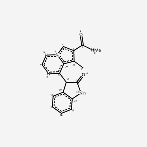 CNC(=O)c1cn2ncnc(C3C(=O)Nc4ccccc43)c2c1C